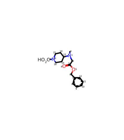 CN(CC(=O)OCc1ccccc1)C1CCN(C(=O)O)CC1